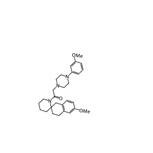 COc1cccc(N2CCN(CC(=O)N3CCCCC34CCc3cc(OC)ccc3C4)CC2)c1